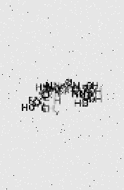 CCc1cc(O)c(F)cc1-c1ccc2c(-c3nc4c([nH]3)CCN(C(=O)c3cnc(N5C[C@H](O)[C@@H](O)[C@H](O)[C@H]5CO)cn3)C4)n[nH]c2c1